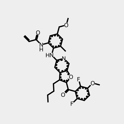 C=CC(=O)Nc1cc(COC)cc(C)c1Nc1cc2c(CCCC)c(C(=O)c3c(F)ccc(OC)c3F)oc2cn1